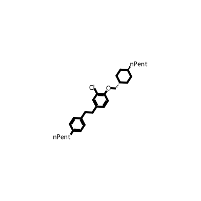 CCCCCc1ccc(CCc2ccc(OC[C@H]3CC[C@H](CCCCC)CC3)c(Cl)c2)cc1